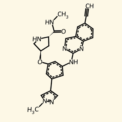 C#Cc1ccc2nc(Nc3cc(O[C@H]4CN[C@H](C(=O)NC)C4)cc(-c4cnn(C)c4)c3)ncc2c1